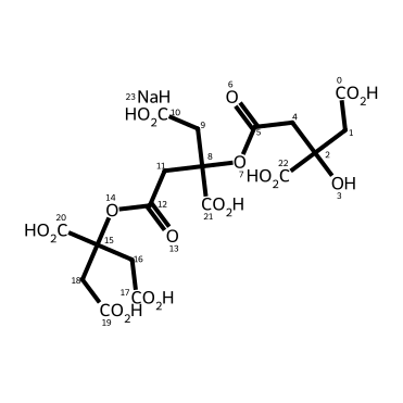 O=C(O)CC(O)(CC(=O)OC(CC(=O)O)(CC(=O)OC(CC(=O)O)(CC(=O)O)C(=O)O)C(=O)O)C(=O)O.[NaH]